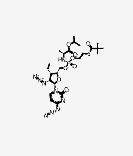 CC[C@H]1[C@@H](N=[N+]=[N-])[C@H](n2ccc(N=[N+]=[N-])nc2=O)O[C@@H]1CO[P@@](=O)(N[C@@H](C)C(=O)OC(C)C)OCCSC(=O)C(C)(C)C